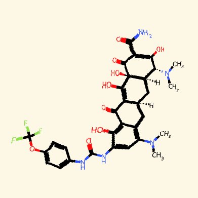 CN(C)c1cc(NC(=O)Nc2ccc(OC(F)(F)F)cc2)c(O)c2c1C[C@@H]1C[C@@H]3[C@@H](N(C)C)C(O)=C(C(N)=O)C(=O)[C@@]3(O)C(O)=C1C2=O